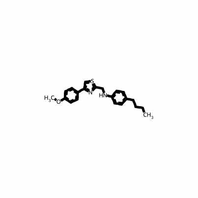 CCCCc1ccc(NCc2nc(-c3ccc(OC)cc3)cs2)cc1